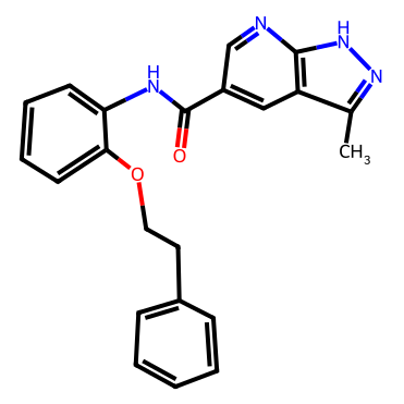 Cc1n[nH]c2ncc(C(=O)Nc3ccccc3OCCc3ccccc3)cc12